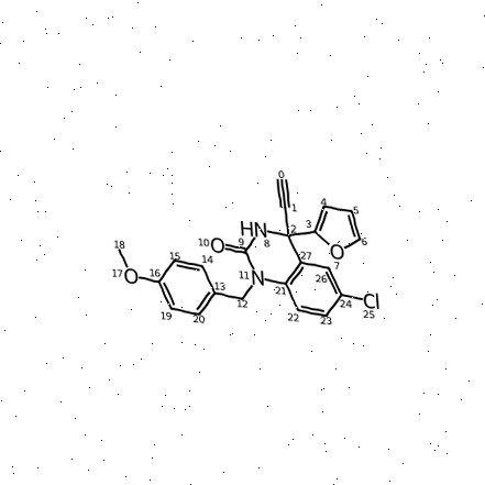 C#CC1(c2ccco2)NC(=O)N(Cc2ccc(OC)cc2)c2ccc(Cl)cc21